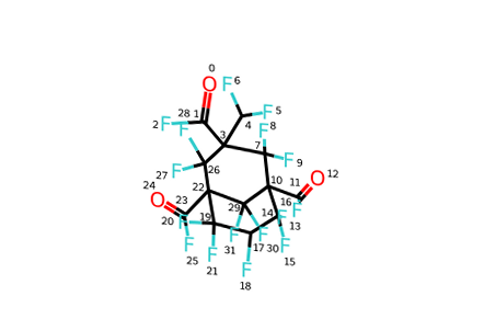 O=C(F)C1(C(F)F)C(F)(F)C2(C(=O)F)C(F)(F)C(F)C(F)(F)C(C(=O)F)(C1(F)F)C2(F)F